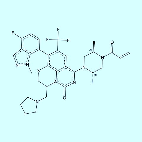 C=CC(=O)N1C[C@H](C)N(c2nc(=O)n3c4c(c(-c5ccc(F)c6cnn(C)c56)c(C(F)(F)F)cc24)SCC3CN2CCCC2)C[C@H]1C